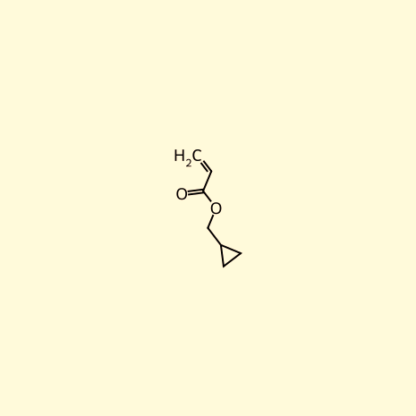 C=CC(=O)OCC1CC1